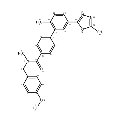 COc1ccc(CN(C)C(=O)c2ccc(-c3cc(-c4nnc(C)o4)ccc3C)cc2)cc1